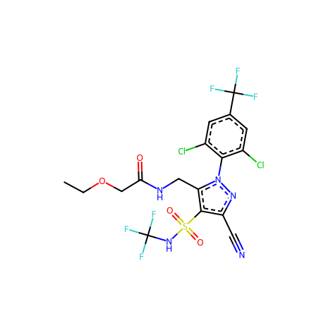 CCOCC(=O)NCc1c(S(=O)(=O)NC(F)(F)F)c(C#N)nn1-c1c(Cl)cc(C(F)(F)F)cc1Cl